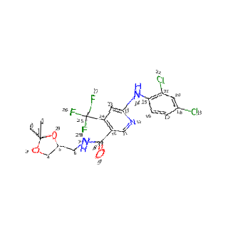 CC1(C)OCC(CNC(=O)c2cnc(Nc3ccc(Cl)cc3Cl)cc2C(F)(F)F)O1